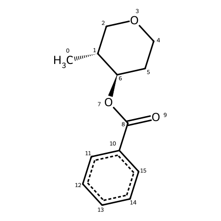 C[C@@H]1COCC[C@H]1OC(=O)c1ccccc1